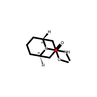 CNC1C[C@H]2CCC[C@H](C1)N2C(=O)OC